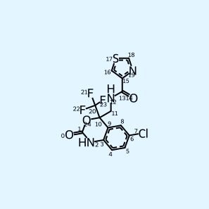 O=C1Nc2ccc(Cl)cc2C(CNC(=O)c2cscn2)(C(F)(F)F)O1